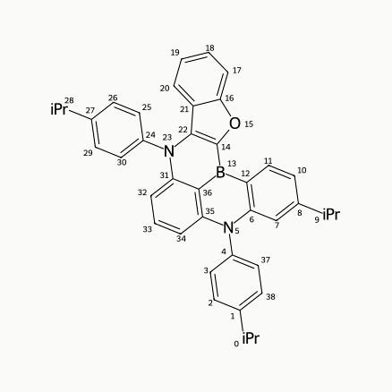 CC(C)c1ccc(N2c3cc(C(C)C)ccc3B3c4oc5ccccc5c4N(c4ccc(C(C)C)cc4)c4cccc2c43)cc1